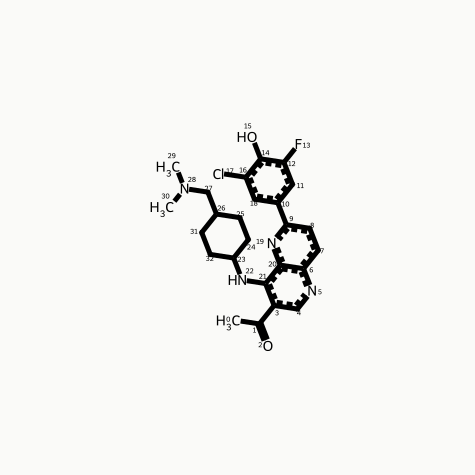 CC(=O)c1cnc2ccc(-c3cc(F)c(O)c(Cl)c3)nc2c1NC1CCC(CN(C)C)CC1